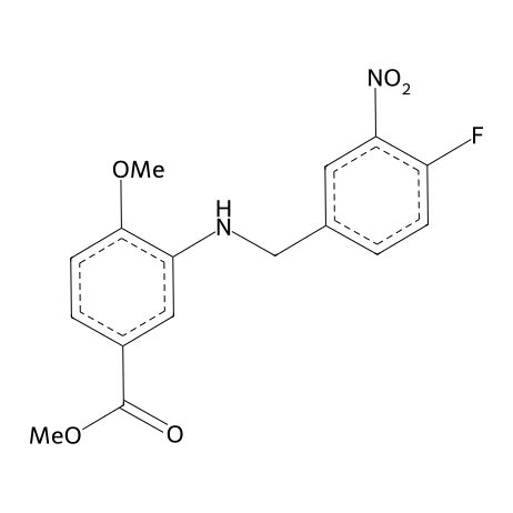 COC(=O)c1ccc(OC)c(NCc2ccc(F)c([N+](=O)[O-])c2)c1